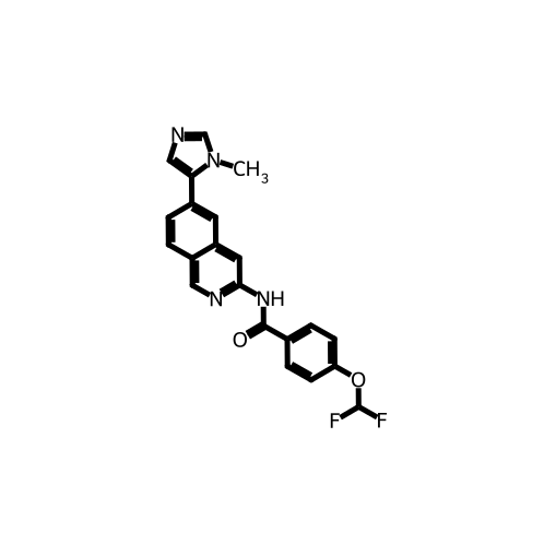 Cn1cncc1-c1ccc2cnc(NC(=O)c3ccc(OC(F)F)cc3)cc2c1